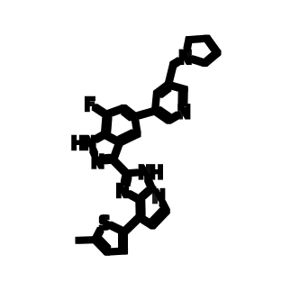 Cc1ccc(-c2ccnc3[nH]c(-c4n[nH]c5c(F)cc(-c6cncc(CN7CCCC7)c6)cc45)nc23)s1